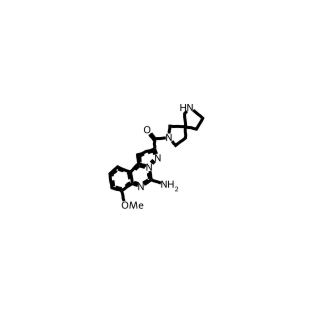 COc1cccc2c1nc(N)n1nc(C(=O)N3CCC4(CCNC4)C3)cc21